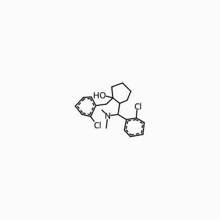 CN(C)C(c1ccccc1Cl)C1CCCCC1(O)Cc1ccccc1Cl